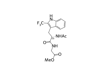 COC(=O)CNC(=O)[C@H](Cc1c(C(F)(F)F)[nH]c2ccccc12)NC(C)=O